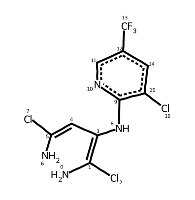 N/C(Cl)=C(\C=C(/N)Cl)Nc1ncc(C(F)(F)F)cc1Cl